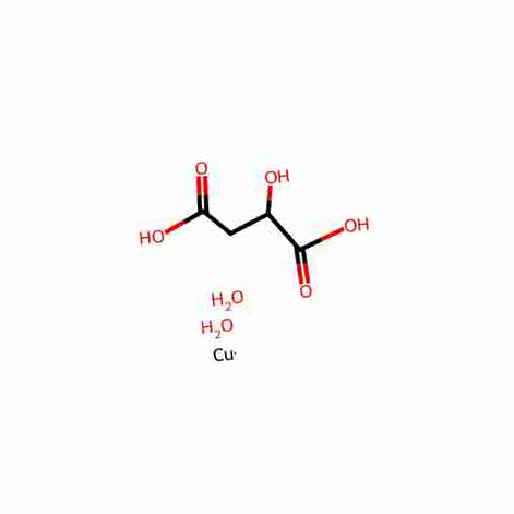 O.O.O=C(O)CC(O)C(=O)O.[Cu]